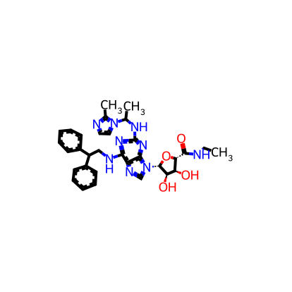 CCNC(=O)[C@H]1O[C@@H](n2cnc3c(NCC(c4ccccc4)c4ccccc4)nc(NC(C)n4ccnc4C)nc32)[C@H](O)[C@@H]1O